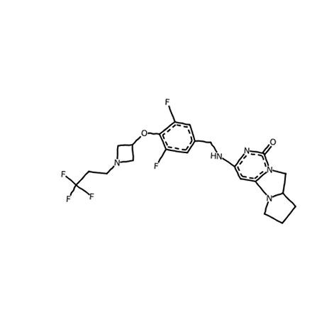 O=c1nc(NCc2cc(F)c(OC3CN(CCC(F)(F)F)C3)c(F)c2)cc2n1CC1CCCN21